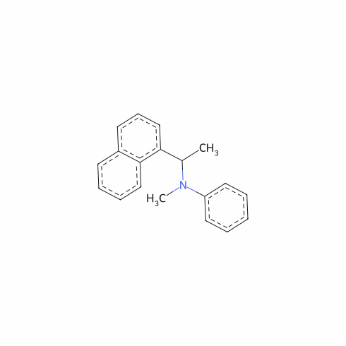 CC(c1cccc2ccccc12)N(C)c1ccccc1